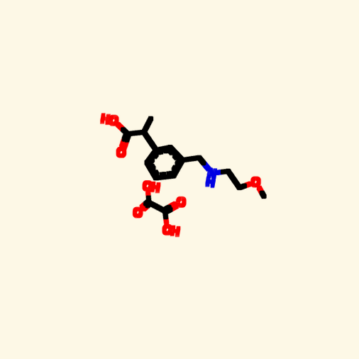 COCCNCc1cccc(C(C)C(=O)O)c1.O=C(O)C(=O)O